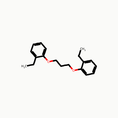 CCc1ccccc1OCCCOc1ccccc1CC